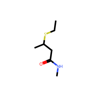 CCSC(C)CC(=O)NC